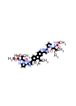 COC(=O)N[C@H](C(=O)N1CCC[C@H]1c1ncc(-c2ccc3c(c2)C(C(C)C)c2cc(-c4cnc([C@@H]5CCCN5C(=O)[C@@H](NC(=O)OC)C(C)C)[nH]4)ccc2-3)[nH]1)C(C)C